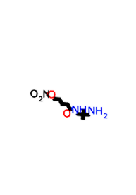 CC(C)(CN)CNC(=O)CCCCO[N+](=O)[O-]